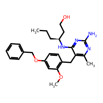 CCC[C@@H](CCO)Nc1nc(N)nc(C)c1Cc1ccc(OCc2ccccc2)cc1OC